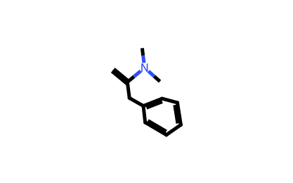 C=C(Cc1ccccc1)N(C)C